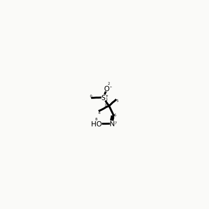 C[S+]([O-])C(C)(C)/C=N\O